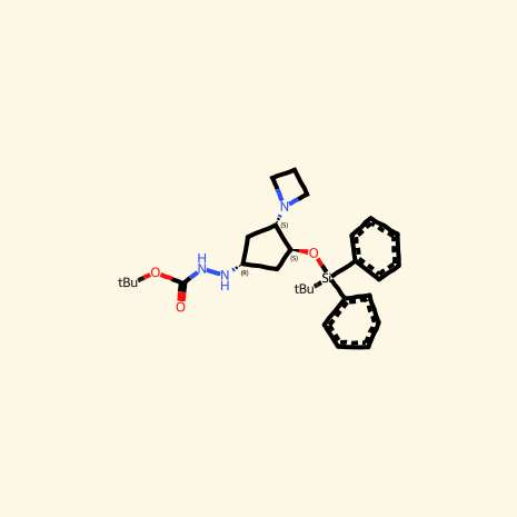 CC(C)(C)OC(=O)NN[C@H]1C[C@H](O[Si](c2ccccc2)(c2ccccc2)C(C)(C)C)[C@@H](N2CCC2)C1